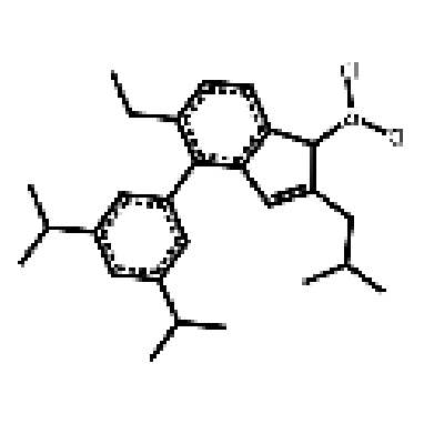 CCc1ccc2c(c1-c1cc(C(C)C)cc(C(C)C)c1)C=C(CC(C)C)[CH]2[Zr]([Cl])[Cl]